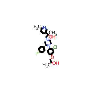 C[C@H](O)COc1ccc(N2CCN(C[C@@](C)(O)c3ccc(C(F)(F)F)nc3)C[C@H]2c2ccc(F)cc2)c(Cl)c1